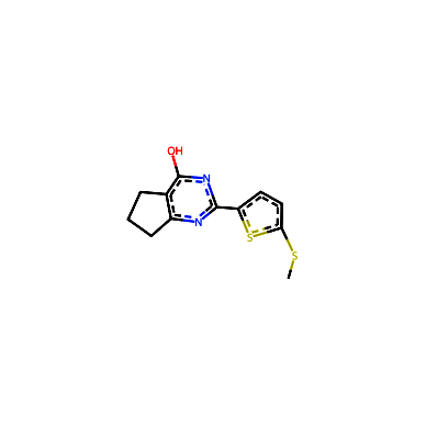 CSc1ccc(-c2nc(O)c3c(n2)CCC3)s1